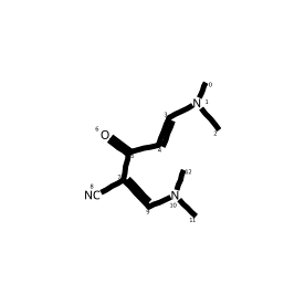 CN(C)C=CC(=O)C(C#N)=CN(C)C